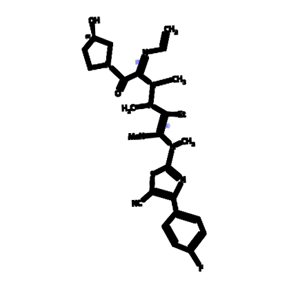 C=C/N=C(/C(=O)N1CC[C@@H](O)C1)N(C)N(C)/C(CC)=C(\NC)N(C)c1nc(-c2ccc(F)cc2)c(C#N)s1